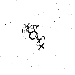 CO[C@H]1CN(C(=O)OC(C)(C)C)CC[C@H]1NS(C)(=O)=O